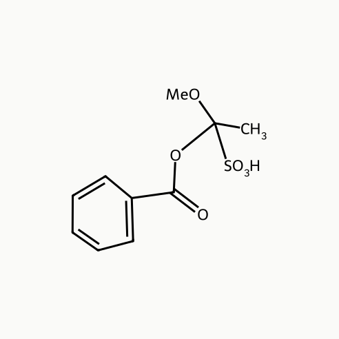 COC(C)(OC(=O)c1ccccc1)S(=O)(=O)O